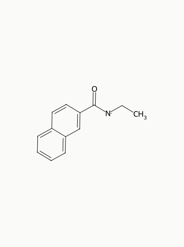 CC[N]C(=O)c1ccc2ccccc2c1